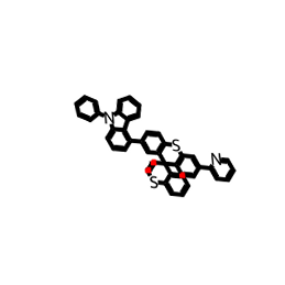 c1ccc(-n2c3ccccc3c3c(-c4ccc5c(c4)C4(c6ccccc6Sc6ccccc64)c4ccc(-c6ccccn6)cc4S5)cccc32)cc1